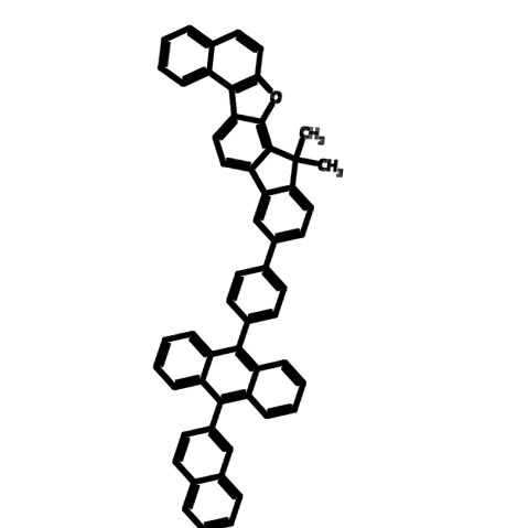 CC1(C)c2ccc(-c3ccc(-c4c5ccccc5c(-c5ccc6ccccc6c5)c5ccccc45)cc3)cc2-c2ccc3c(oc4ccc5ccccc5c43)c21